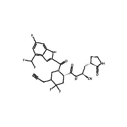 C#CCC1CN(C(=O)c2cc3c(C(F)F)cc(F)cc3[nH]2)[C@H](C(=O)N[C@H](C#N)C[C@@H]2CCNC2=O)CC1(F)F